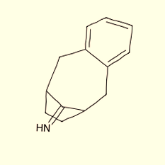 N=C1C2CCC1Cc1ccccc1C2